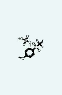 COc1ccc(S(=O)(=O)C(F)(F)F)cc1.O=S(=O)(O)O